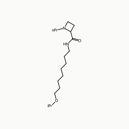 CCCN1CCC1C(=O)NCCCCCCCCOC(C)C